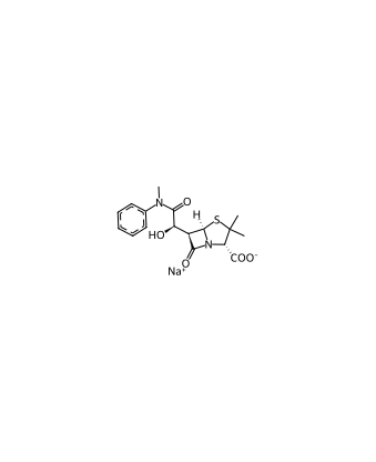 CN(C(=O)[C@H](O)[C@@H]1C(=O)N2[C@@H]1SC(C)(C)[C@@H]2C(=O)[O-])c1ccccc1.[Na+]